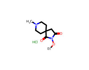 CCON1C(=O)CC2(CCN(C)CC2)C1=O.Cl